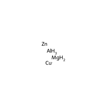 [AlH3].[Cu].[MgH2].[Zn]